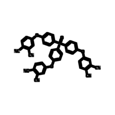 N#Cc1ccc(Oc2ccc(P(=O)(c3ccc(Oc4ccc(C#N)c(C#N)c4)cc3)c3ccc(Oc4ccc(C#N)c(C#N)c4)cc3)cc2)cc1C#N